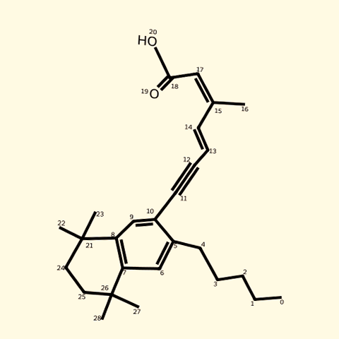 CCCCCc1cc2c(cc1C#C/C=C/C(C)=C\C(=O)O)C(C)(C)CCC2(C)C